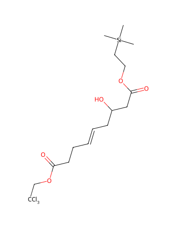 C[Si](C)(C)CCOC(=O)CC(O)CC=CCCC(=O)OCC(Cl)(Cl)Cl